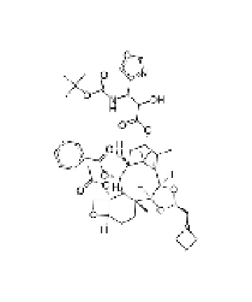 CC(=O)O[C@@]12CO[C@@H]1CC[C@@]1(C)[C@@H]3O[C@H](CN4CCC4)O[C@@H]3C3=C(C)[C@@H](OC(=O)[C@H](O)[C@@H](NC(=O)OC(C)(C)C)c4cocn4)C[C@@](O)([C@@H](OC(=O)c4ccccc4)[C@@H]12)C3(C)C